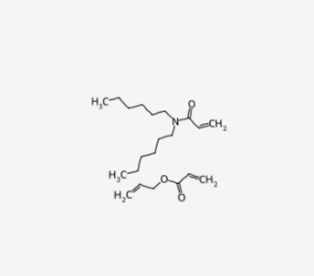 C=CC(=O)N(CCCCCC)CCCCCC.C=CCOC(=O)C=C